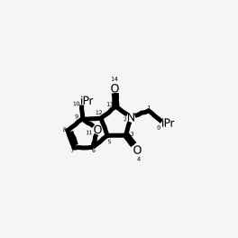 CC(C)CN1C(=O)C2C3C=CC(C(C)C)(O3)C2C1=O